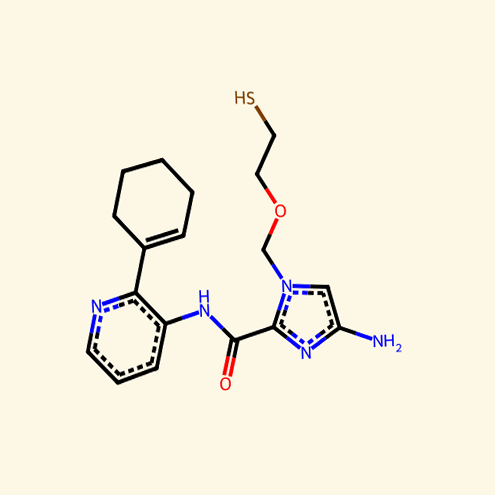 Nc1cn(COCCS)c(C(=O)Nc2cccnc2C2=CCCCC2)n1